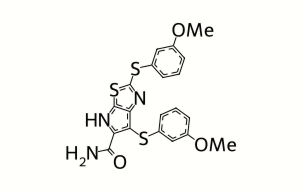 COc1cccc(Sc2nc3c(Sc4cccc(OC)c4)c(C(N)=O)[nH]c3s2)c1